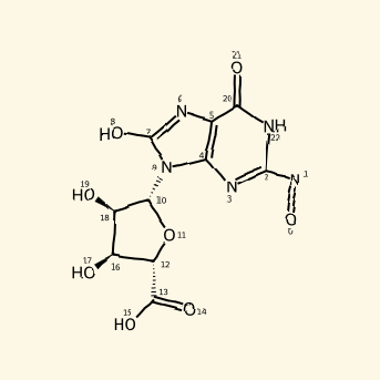 O=Nc1nc2c(nc(O)n2[C@@H]2O[C@H](C(=O)O)[C@@H](O)[C@H]2O)c(=O)[nH]1